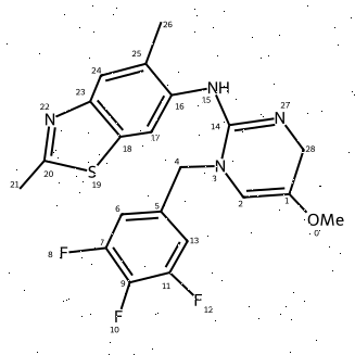 COC1=CN(Cc2cc(F)c(F)c(F)c2)C(Nc2cc3sc(C)nc3cc2C)=NC1